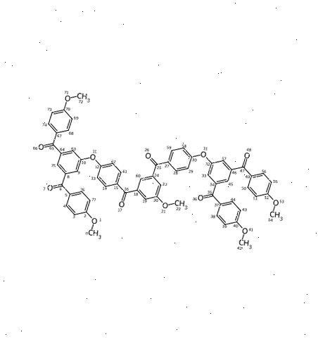 COc1ccc(C(=O)c2cc(Oc3ccc(C(=O)c4cc(OC)cc(C(=O)c5ccc(Oc6cc(C(=O)c7ccc(OC)cc7)cc(C(=O)c7ccc(OC)cc7)c6)cc5)c4)cc3)cc(C(=O)c3ccc(OC)cc3)c2)cc1